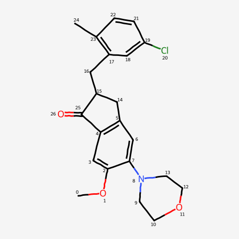 COc1cc2c(cc1N1CCOCC1)CC(Cc1cc(Cl)ccc1C)C2=O